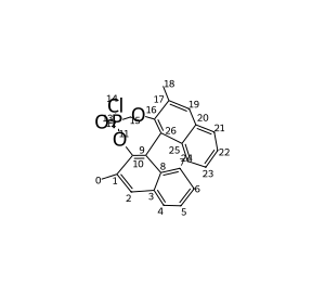 Cc1cc2ccccc2c2c1OP(=O)(Cl)Oc1c(C)cc3ccccc3c1-2